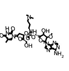 COC1C(O)[C@@H](COP(=O)(NCCCN(C)C)OC2C[C@H](n3cc(C)c(=O)[nH]c3=O)O[C@@H]2CO)O[C@H]1n1cnc2c(N)ncnc21